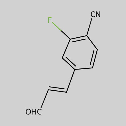 N#Cc1ccc(/C=C/C=O)cc1F